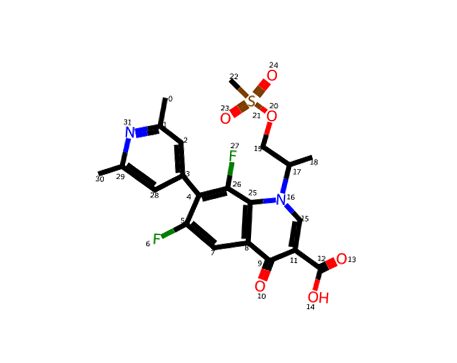 Cc1cc(-c2c(F)cc3c(=O)c(C(=O)O)cn(C(C)COS(C)(=O)=O)c3c2F)cc(C)n1